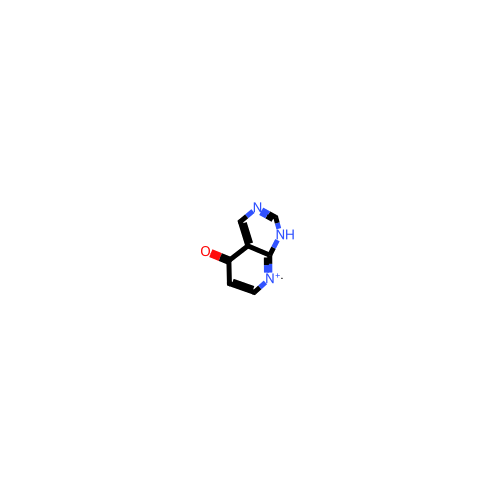 O=C1C=C[N+]=C2NC=NC=C12